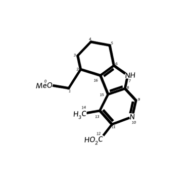 COCC1CCCc2[nH]c3cnc(C(=O)O)c(C)c3c21